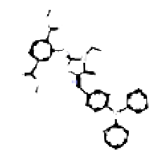 CCN1C(=O)/C(=C\c2ccc(N(c3ccccc3)c3ccccc3)cc2)O/C1=N\c1cc(C(=O)OC)ccc1C(=O)OC